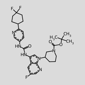 CC(C)(C)OC(=O)N1CCCC(n2cc(NC(=O)Nc3ccc(C4CCC(F)(F)CC4)nc3)c3cc(F)cnc32)C1